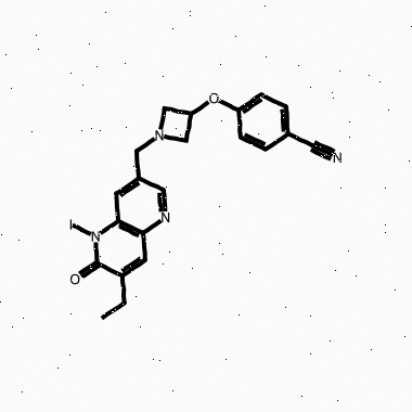 CCc1cc2ncc(CN3CC(Oc4ccc(C#N)cc4)C3)cc2n(I)c1=O